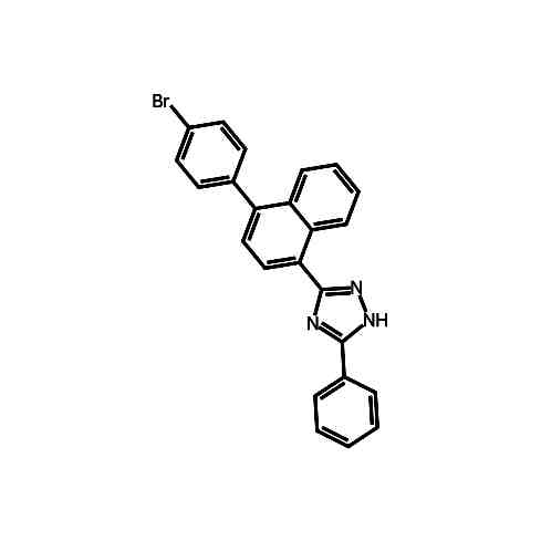 Brc1ccc(-c2ccc(-c3n[nH]c(-c4ccccc4)n3)c3ccccc23)cc1